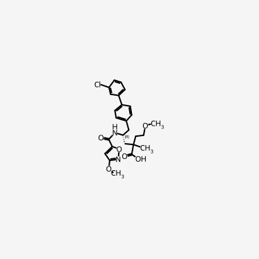 COCCC(C)(C[C@@H](Cc1ccc(-c2cccc(Cl)c2)cc1)NC(=O)c1cc(OC)no1)C(=O)O